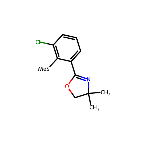 CSc1c(Cl)cccc1C1=NC(C)(C)CO1